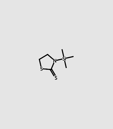 C[Si](C)(C)N1CCSC1=S